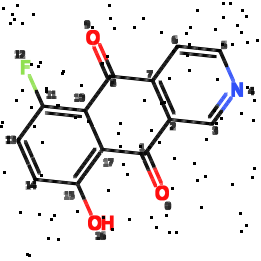 O=C1c2cnccc2C(=O)c2c(F)ccc(O)c21